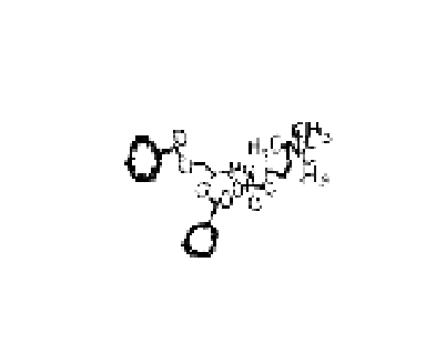 C[N+](C)(C)CCOP(=O)(O)OC[C@@H](COC(=O)c1ccccc1)OC(=O)c1ccccc1